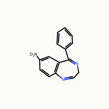 O=[N+]([O-])c1ccc2c(c1)C(c1ccccc1)=NCC=N2